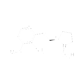 COc1ccnc(OC[C@H]2CCCN2C(=O)O)c1N